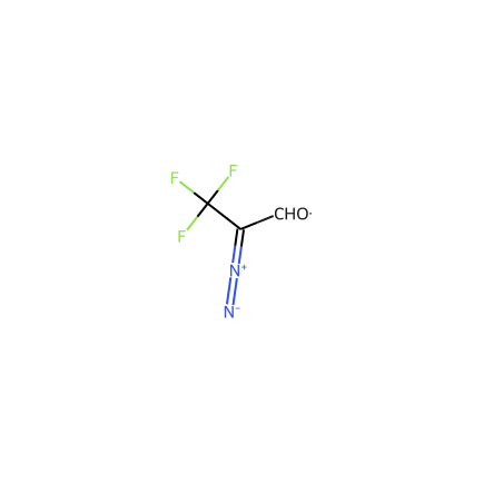 [N-]=[N+]=C([C]=O)C(F)(F)F